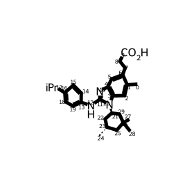 Cc1cc2c(cc1CCC(=O)O)nc(Nc1ccc(C(C)C)cc1)n2[C@@H]1C[C@@H](C)CC(C)(C)C1